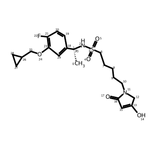 C[C@@H](NS(=O)(=O)CCCCCN1CC(O)=CC1=O)c1ccc(F)c(OCC2CC2)c1